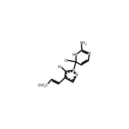 CCOC(=O)C=Cc1cnn(C2(Cl)C=CN=C(N)N2)c1CC